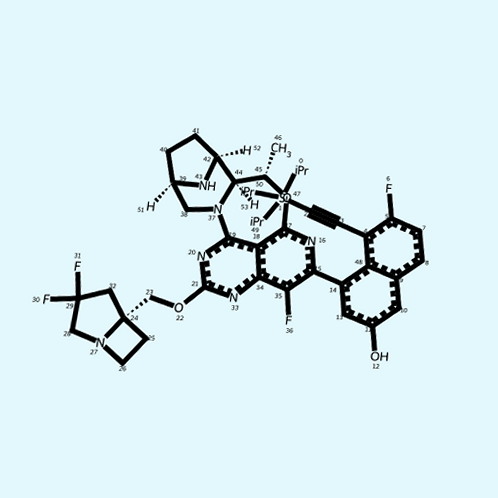 CC(C)[Si](C#Cc1c(F)ccc2cc(O)cc(-c3nc4c5c(nc(OC[C@]67CCN6CC(F)(F)C7)nc5c3F)N3C[C@H]5CC[C@H](N5)[C@H]3[C@H](C)O4)c12)(C(C)C)C(C)C